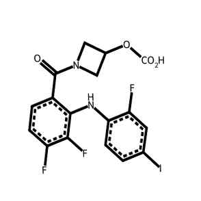 O=C(O)OC1CN(C(=O)c2ccc(F)c(F)c2Nc2ccc(I)cc2F)C1